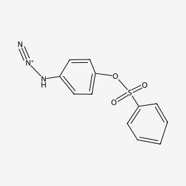 N#[N+]Nc1ccc(OS(=O)(=O)c2ccccc2)cc1